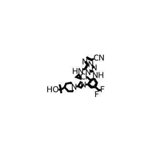 CC(C)(O)C1CCN(C2CN(c3cc(C(F)F)cc(Nc4nc(NC5CC5)c5ncc(C#N)n5n4)c3Cl)C2)CC1